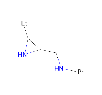 CCC1NC1CNC(C)C